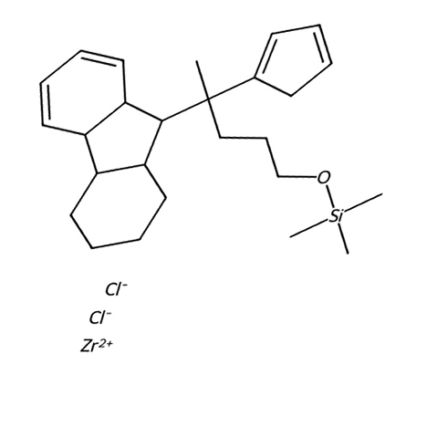 CC(CCCO[Si](C)(C)C)(C1=CC=CC1)C1C2C=CC=CC2C2CCCCC21.[Cl-].[Cl-].[Zr+2]